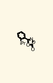 CC(C)c1ccccc1-c1noc(=O)o1